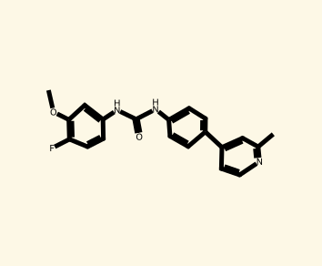 COc1cc(NC(=O)Nc2ccc(-c3ccnc(C)c3)cc2)ccc1F